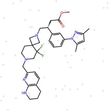 COC(=O)C[C@H](CN1CC2(CCN(Cc3ccc4c(n3)NCCC4)CC2(F)F)C1)c1cccc(-n2nc(C)cc2C)c1